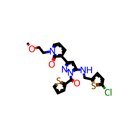 COCCn1cccc(-c2cc(NCc3ccc(Cl)s3)n(C(=O)c3cccs3)n2)c1=O